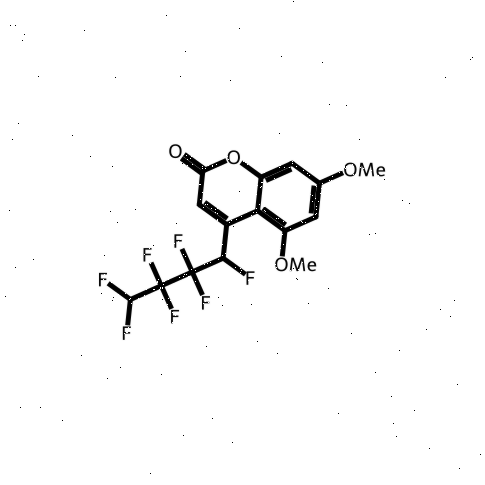 COc1cc(OC)c2c(C(F)C(F)(F)C(F)(F)C(F)F)cc(=O)oc2c1